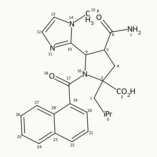 CC(C)CC1(C(=O)O)CC(C(N)=O)C(c2nccn2C)N1C(=O)c1cccc2ccccc12